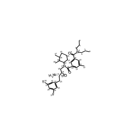 CCCN(CCC)C(=O)c1cc(C)cc(C(=O)N(C[C@@H](O)[C@@H](N)Cc2cc(F)cc(F)c2)C2CCCC(C)C2C)c1